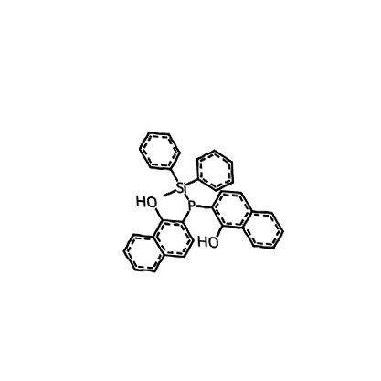 C[Si](c1ccccc1)(c1ccccc1)P(c1ccc2ccccc2c1O)c1ccc2ccccc2c1O